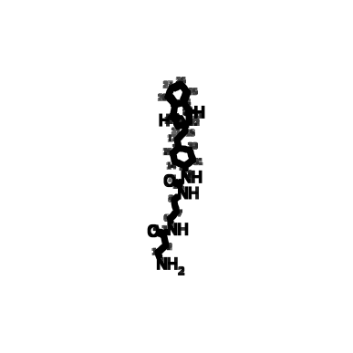 NCCC(=O)NCCCNC(=O)NC1CCC(CCN2[C@@H]3CC[C@H]2c2ccccc23)CC1